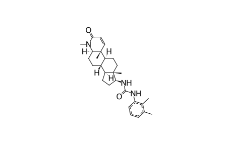 Cc1cccc(NC(=O)N[C@H]2CC[C@H]3[C@@H]4CC[C@H]5N(C)C(=O)C=C[C@]5(C)[C@H]4CC[C@]23C)c1C